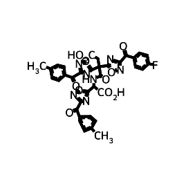 Cc1ccc(C(=O)c2noc(C(NC(=O)C(CC(=O)O)(c3nc(C(=O)c4ccc(C)cc4)no3)c3nc(C(=O)c4ccc(F)cc4)no3)C(=O)O)n2)cc1